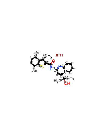 Br.CC(=O)c1ccc(C(C)=O)c2c(C)c(C(=O)Nc3cc(C(C)(C)O)c4ccccc4n3)sc12